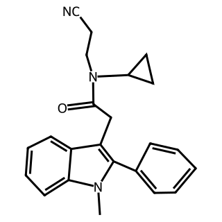 Cn1c(-c2ccccc2)c(CC(=O)N(CCC#N)C2CC2)c2ccccc21